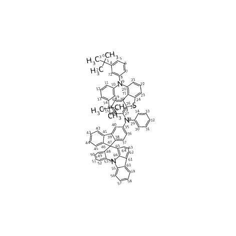 CC(C)(C)c1cccc(N(c2cccc(C(C)(C)C)c2)c2cccc3sc4c(N(c5ccccc5)c5ccc6c(c5)-c5ccccc5C65c6ccccc6-n6c7ccccc7c7cccc5c76)cccc4c23)c1